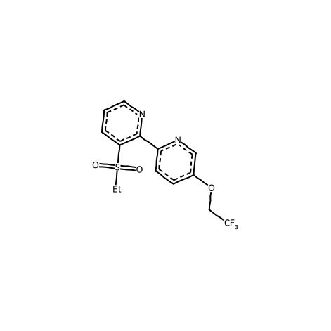 CCS(=O)(=O)c1cccnc1-c1ccc(OCC(F)(F)F)cn1